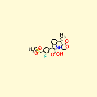 CC(c1cccoc1=O)c1cccc2c(-c3ccc(CS(C)(=O)=O)c(F)c3)c(C(=O)O)[nH]c12